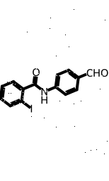 O=Cc1ccc(NC(=O)c2ccccc2I)cc1